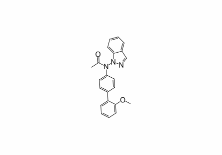 COc1ccccc1-c1ccc(N(C(C)=O)n2ncc3ccccc32)cc1